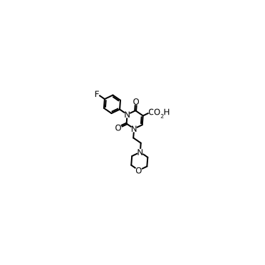 O=C(O)c1cn(CCN2CCOCC2)c(=O)n(-c2ccc(F)cc2)c1=O